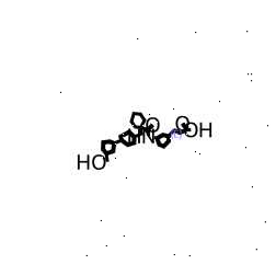 O=C(O)/C=C/c1cccc(NC(=O)C2(Cc3ccc(-c4cccc(CO)c4)cc3)CCCCC2)c1